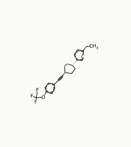 CCc1ccc([C@H]2CC[C@H](C#Cc3ccc(OC(F)(F)F)cc3)CC2)cc1